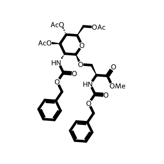 COC(=O)[C@H](CO[C@@H]1O[C@H](COC(C)=O)[C@@H](OC(C)=O)[C@H](OC(C)=O)[C@H]1NC(=O)OCc1ccccc1)NC(=O)OCc1ccccc1